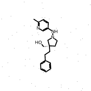 Cc1ccc(NN2CC[C@@](CO)(CCc3ccccc3)C2)cn1